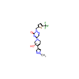 Cn1cc(C2=CCN(c3cnn(Cc4ccc(C(F)(F)F)s4)c(=O)n3)C[C@@H]2O)cn1